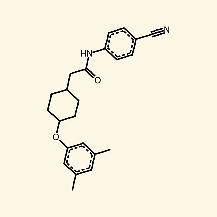 Cc1cc(C)cc(OC2CCC(CC(=O)Nc3ccc(C#N)cc3)CC2)c1